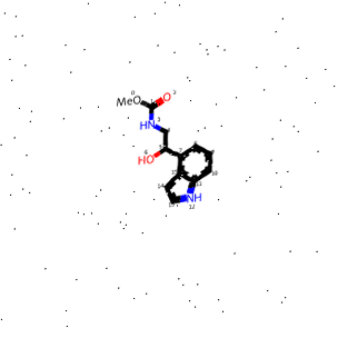 COC(=O)NCC(O)c1cccc2[nH]ccc12